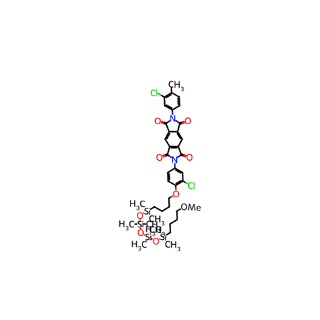 COCCCC[Si](C)(C)O[Si](C)(C)O[Si](C)(C)O[Si](C)(C)CCCCOc1ccc(-n2c(=O)c3cc4c(=O)n(-c5ccc(C)c(Cl)c5)c(=O)c4cc3c2=O)cc1Cl